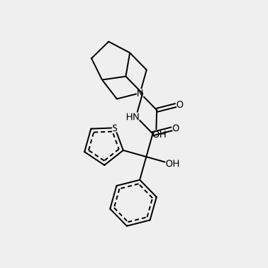 O=C(O)N1CC2CCC(C1)C2CNC(=O)C(O)(c1ccccc1)c1cccs1